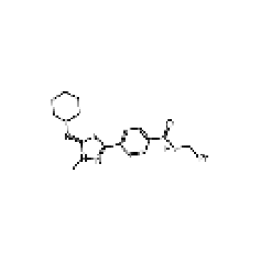 CC(C)CNC(=O)c1ccc(-c2nn(C)c(=NC3CCCCC3)s2)cc1